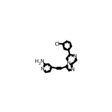 Nc1cc(C#Cc2cnc3cnc(-c4cc[c]c(Cl)c4)cn23)ccn1